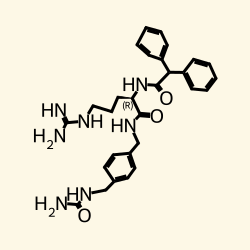 N=C(N)NCCC[C@@H](NC(=O)C(c1ccccc1)c1ccccc1)C(=O)NCc1ccc(CNC(N)=O)cc1